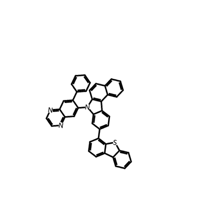 c1ccc(-c2cc3nccnc3cc2-n2c3cc(-c4cccc5c4sc4ccccc45)ccc3c3c4ccccc4ccc32)cc1